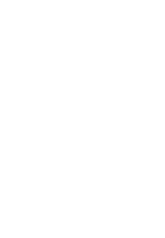 CC(C)(C(=O)NC1C2CC3CC1CC(C(=O)O)(C3)C2)N1CCN(c2ccccc2Br)CC1